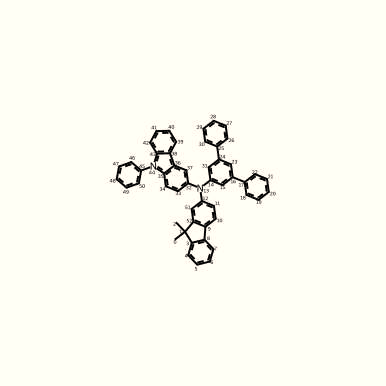 CC1(C)c2ccccc2-c2ccc(N(c3cc(-c4ccccc4)cc(-c4ccccc4)c3)c3ccc4c(c3)c3ccccc3n4-c3ccccc3)cc21